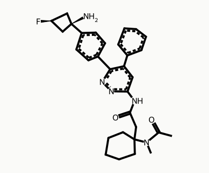 CC(=O)N(C)C1(CC(=O)Nc2cc(-c3ccccc3)c(-c3ccc([C@]4(N)C[C@@H](F)C4)cc3)nn2)CCCCC1